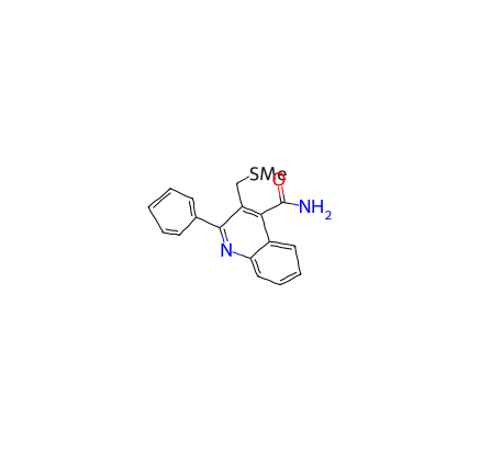 CSCc1c(-c2ccccc2)nc2ccccc2c1C(N)=O